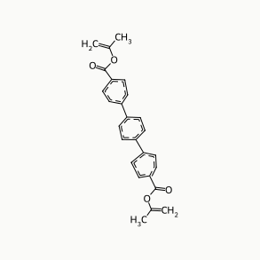 C=C(C)OC(=O)c1ccc(-c2ccc(-c3ccc(C(=O)OC(=C)C)cc3)cc2)cc1